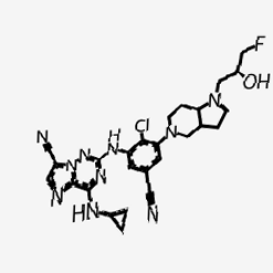 N#Cc1cc(Nc2nc(NC3CC3)c3ncc(C#N)n3n2)c(Cl)c(N2CCC3C(CCN3C[C@H](O)CF)C2)c1